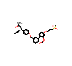 CC#C[C@@H](CC(=O)OC)c1ccc(OCc2ccc3c(c2)-c2ccc(OCCCS(C)(=O)=O)cc2OCO3)cc1